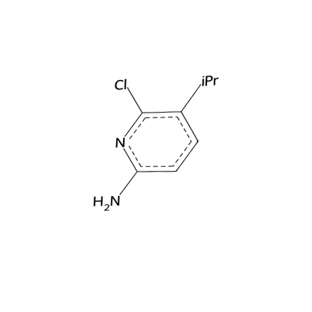 CC(C)c1ccc(N)nc1Cl